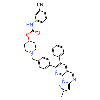 Cc1cc2ncc3cc(-c4ccccc4)c(-c4ccc(CN5CCC(OC(=O)Nc6cccc(C#N)c6)CC5)cc4)nc3n2n1